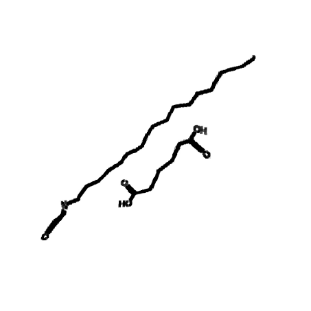 CCCCCCCCCCCCCCCCN=C=O.O=C(O)CCCCC(=O)O